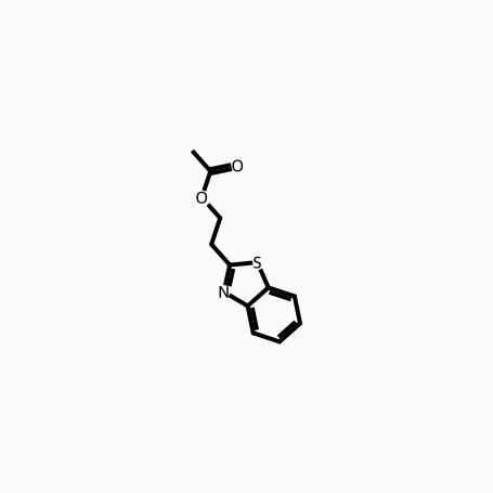 CC(=O)OCCc1nc2ccccc2s1